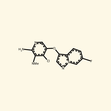 CNc1c(N)ncc(Oc2cnn3cc(F)ccc23)c1Cl